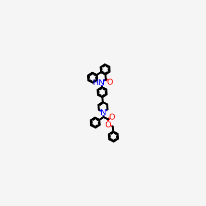 O=C(Nc1ccc(C2=CCN(C(C(=O)OCc3ccccc3)c3ccccc3)CC2)cc1)c1ccccc1-c1ccccc1